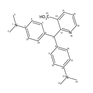 CN(C)c1ccc(C(c2ccc(N(C)C)cc2)c2ncccc2C(=O)O)cc1